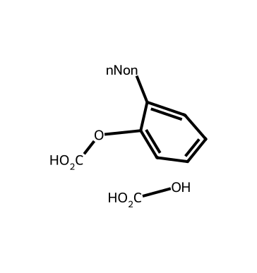 CCCCCCCCCc1ccccc1OC(=O)O.O=C(O)O